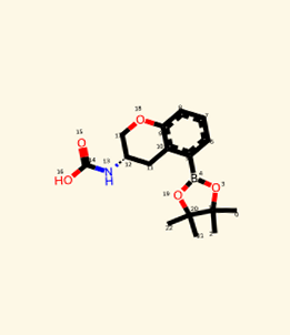 CC1(C)OB(c2cccc3c2C[C@H](NC(=O)O)CO3)OC1(C)C